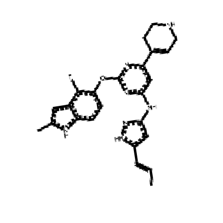 C/C=C/c1cc(Nc2cc(C3=CCNCC3)nc(Oc3ccc4[nH]c(C)cc4c3F)n2)n[nH]1